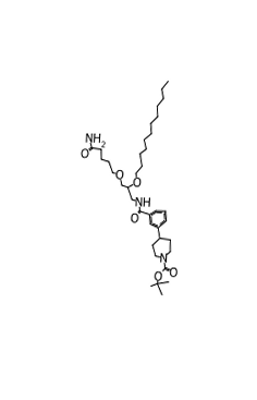 CCCCCCCCCCCCOC(CNC(=O)c1cccc(C2CCN(C(=O)OC(C)(C)C)CC2)c1)COCCCCC(N)=O